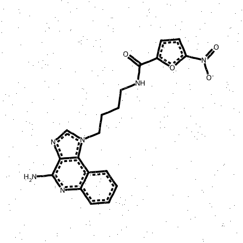 Nc1nc2ccccc2c2c1ncn2CCCCNC(=O)c1ccc([N+](=O)[O-])o1